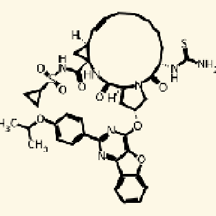 CC(C)Oc1ccc(-c2nc(O[C@@H]3C[C@H]4C(=O)N[C@]5(C(=O)NS(=O)(=O)C6CC6)C[C@H]5/C=C\CCCCC[C@H](NC(N)=S)C(=O)N4C3)c3oc4ccccc4c3n2)cc1